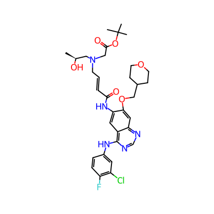 C[C@H](O)CN(CC=CC(=O)Nc1cc2c(Nc3ccc(F)c(Cl)c3)ncnc2cc1OCC1CCOCC1)CC(=O)OC(C)(C)C